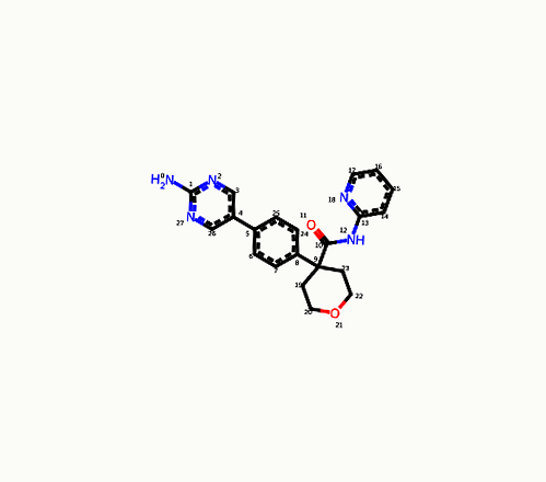 Nc1ncc(-c2ccc(C3(C(=O)Nc4ccccn4)CCOCC3)cc2)cn1